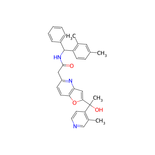 Cc1ccc(C(NC(=O)Cc2ccc3oc(C(C)(O)c4ccncc4C)cc3n2)c2ccccc2)c(C)c1